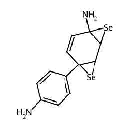 Nc1ccc(C23C=CC4(N)[Se]C4C2[Se]3)cc1